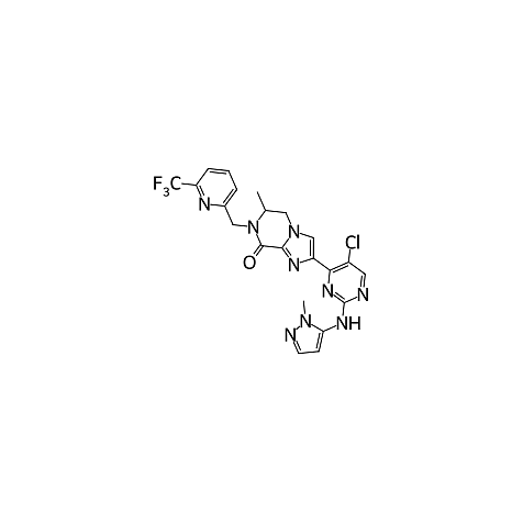 CC1Cn2cc(-c3nc(Nc4ccnn4C)ncc3Cl)nc2C(=O)N1Cc1cccc(C(F)(F)F)n1